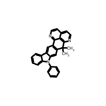 CC1(C)c2cc3c(cc2-c2nccc4ccnc1c24)c1ccccc1n3-c1ccccc1